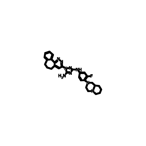 Nc1nc(Nc2ccc(N3CCN4CCCCC4C3)c(F)c2)nn1-c1cc2c(nn1)-c1ccccc1CCC2